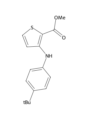 COC(=O)c1sccc1Nc1ccc(C(C)(C)C)cc1